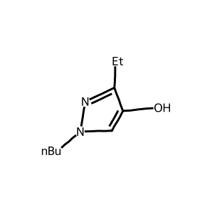 CCCCn1cc(O)c(CC)n1